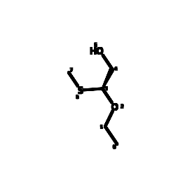 CCO[C@H](CO)SC